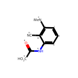 CNc1cccc(NC(=O)C(=O)O)c1C#N